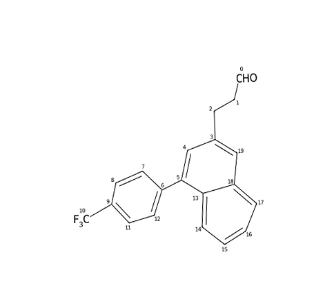 O=CCCc1cc(-c2ccc(C(F)(F)F)cc2)c2ccccc2c1